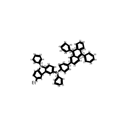 CCc1ccc2c(c1)c1cc(N(c3ccccc3)c3ccc(-c4ccc5c(-c6ccccc6)c6ccccc6c(-c6ccccc6)c5c4)cc3)ccc1n2-c1ccccc1